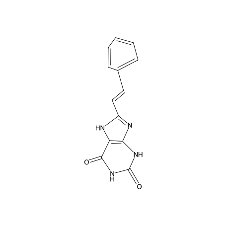 O=c1[nH]c(=O)c2[nH]c(/C=C/c3ccccc3)nc2[nH]1